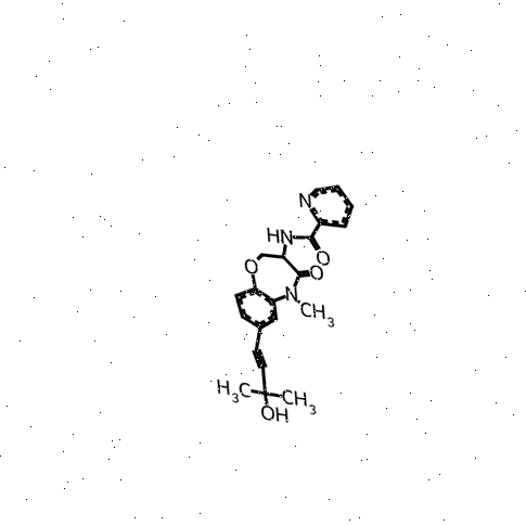 CN1C(=O)C(NC(=O)c2ccccn2)COc2ccc(C#CC(C)(C)O)cc21